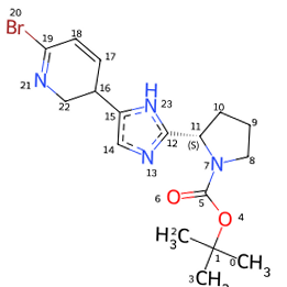 CC(C)(C)OC(=O)N1CCC[C@H]1c1ncc(C2C=CC(Br)=NC2)[nH]1